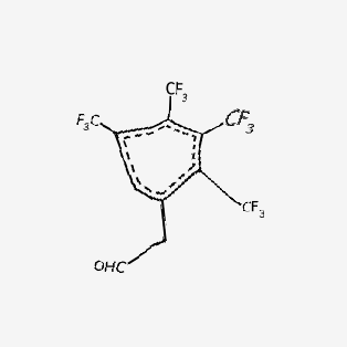 O=CCc1cc(C(F)(F)F)c(C(F)(F)F)c(C(F)(F)F)c1C(F)(F)F